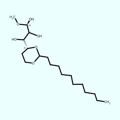 CCCCCCCCCCCC1OCC[C@H](C(O)C(O)[C@H](O)OC)O1